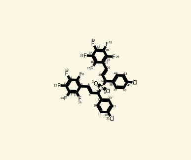 O=S(=O)(C(C=Cc1c(F)c(F)c(F)c(F)c1F)c1ccc(Cl)cc1)C(C=Cc1c(F)c(F)c(F)c(F)c1F)c1ccc(Cl)cc1